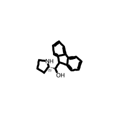 OC(C1c2ccccc2-c2ccccc21)[C@@H]1CCCN1